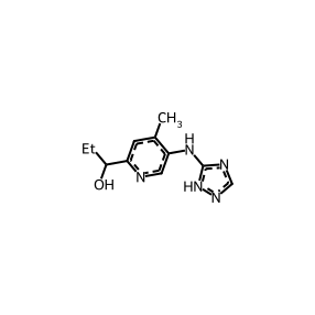 CCC(O)c1cc(C)c(Nc2ncn[nH]2)cn1